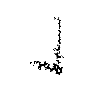 COCCOCCOCCOCC(=O)OCC(=O)OCn1cc(C(=O)c2nc(C(=O)OC)cs2)c2ccccc21